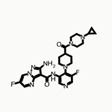 Nc1nn2cc(F)cnc2c1C(=O)Nc1cncc(F)c1N1CCC(C(=O)N2CCN(C3CC3)CC2)CC1